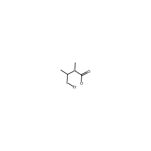 CCSC(C)N(C)C(=O)Cl